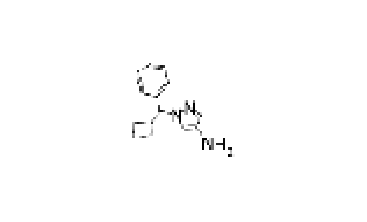 Nc1cnn(C(c2ccccc2)C2CCC2)c1